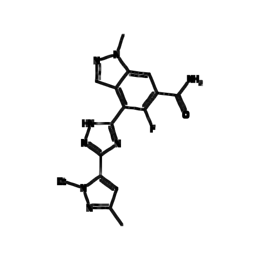 CCn1nc(C)cc1-c1n[nH]c(-c2c(F)c(C(N)=O)cc3c2cnn3C)n1